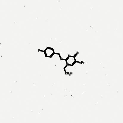 CCCc1cn(CC(=O)O)c(SCc2ccc(F)cc2)nc1=O